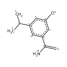 [CH2]C(C)c1cc(Cl)cc(C(N)=O)c1